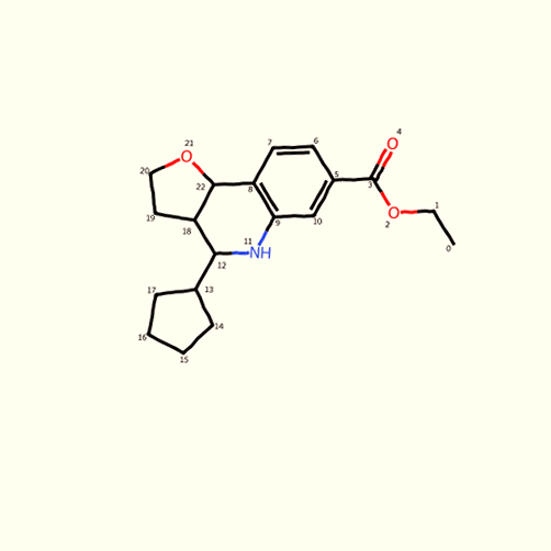 CCOC(=O)c1ccc2c(c1)NC(C1CCCC1)C1CCOC21